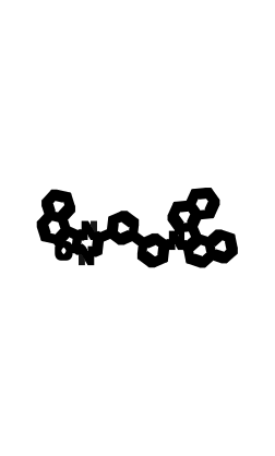 c1cc(-c2cccc(-n3c4ccc5ccccc5c4c4c5ccccc5ccc43)c2)cc(-c2cnc3oc4ccc5ccccc5c4c3n2)c1